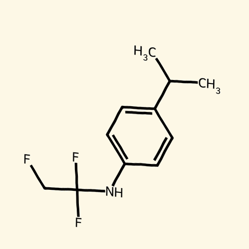 CC(C)c1ccc(NC(F)(F)CF)cc1